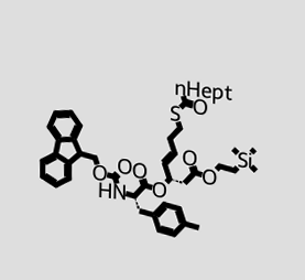 CCCCCCCC(=O)SCC/C=C/[C@H](CC(=O)OCC[Si](C)(C)C)OC(=O)[C@H](Cc1ccc(C)cc1)NC(=O)OCC1c2ccccc2-c2ccccc21